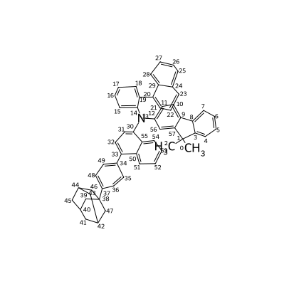 CC1(C)c2ccccc2-c2ccc(N(c3ccccc3-c3cccc4ccccc34)c3ccc(-c4ccc(C56CC7CC(CC(C7)C5)C6)cc4)c4ccccc34)cc21